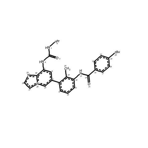 CCCNC(=O)Nc1cc(-c2cccc(NC(=O)c3ccc(C(C)(C)C)cc3)c2C)cn2ccnc12